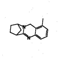 Cc1cccc2c1CN1C(=N2)C2CCC1C2